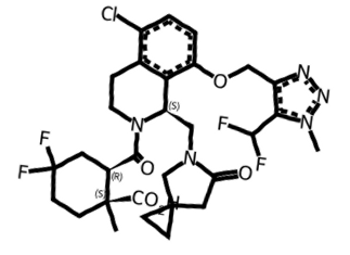 Cn1nnc(COc2ccc(Cl)c3c2[C@@H](CN2CC4(CC4)CC2=O)N(C(=O)[C@@H]2CC(F)(F)CC[C@]2(C)C(=O)O)CC3)c1C(F)F